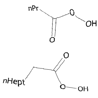 CCCC(=O)OO.CCCCCCCCC(=O)OO